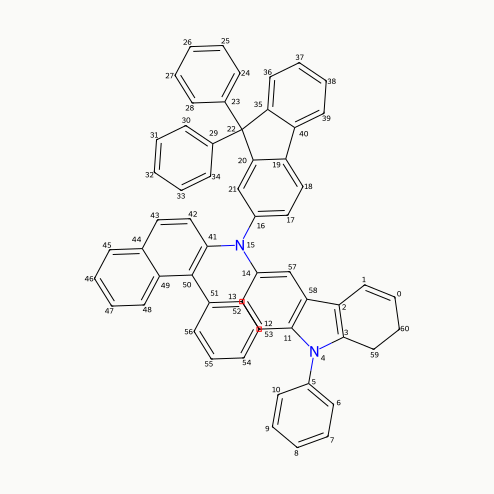 C1=Cc2c(n(-c3ccccc3)c3ccc(N(c4ccc5c(c4)C(c4ccccc4)(c4ccccc4)c4ccccc4-5)c4ccc5ccccc5c4-c4ccccc4)cc23)CC1